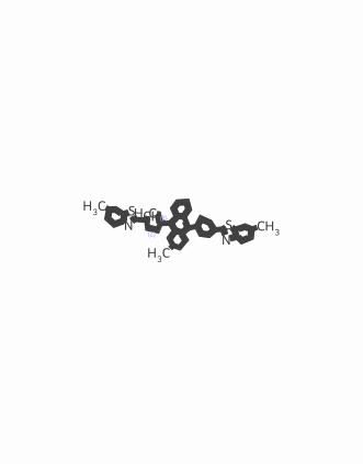 C=C(/C=C\C(=C/C)c1c2c(c(-c3ccc(-c4nc5ccc(C)cc5s4)cc3)c3ccccc13)=CCC(C)C=2)c1nc2ccc(C)cc2s1